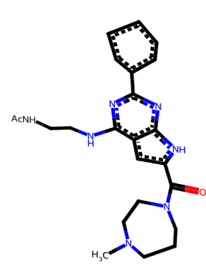 CC(=O)NCCNc1nc(-c2ccccc2)nc2[nH]c(C(=O)N3CCCN(C)CC3)cc12